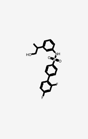 CC(CO)c1cccc(NS(=O)(=O)c2ccc(-c3ccc(F)cc3F)cc2)c1